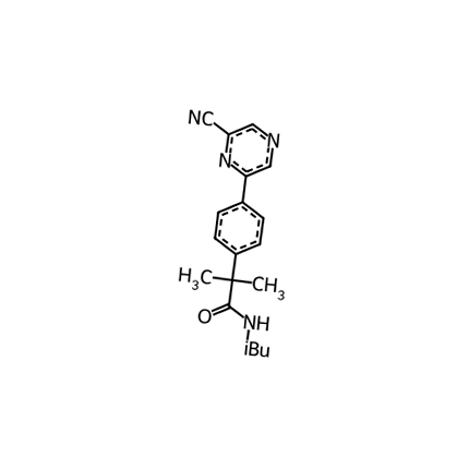 CCC(C)NC(=O)C(C)(C)c1ccc(-c2cncc(C#N)n2)cc1